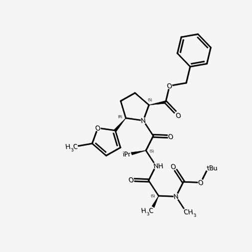 Cc1ccc([C@H]2CC[C@@H](C(=O)OCc3ccccc3)N2C(=O)[C@@H](NC(=O)[C@H](C)N(C)C(=O)OC(C)(C)C)C(C)C)o1